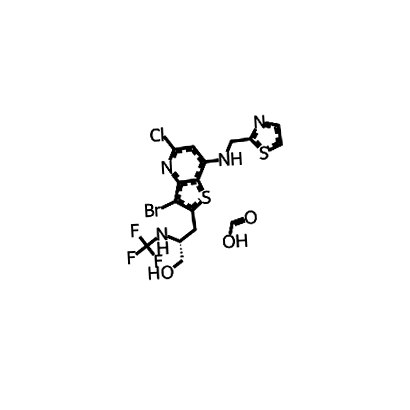 O=CO.OC[C@@H](Cc1sc2c(NCc3nccs3)cc(Cl)nc2c1Br)NC(F)(F)F